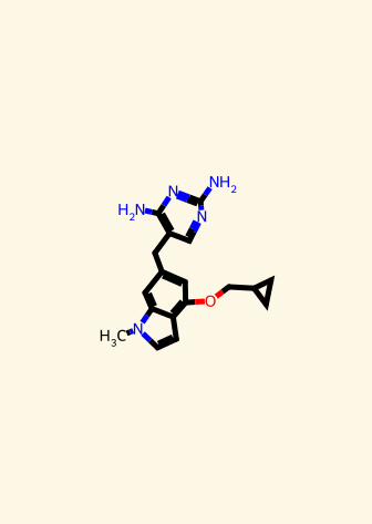 Cn1ccc2c(OCC3CC3)cc(Cc3cnc(N)nc3N)cc21